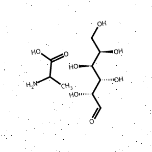 CC(N)C(=O)O.O=C[C@H](O)[C@@H](O)[C@@H](O)[C@H](O)CO